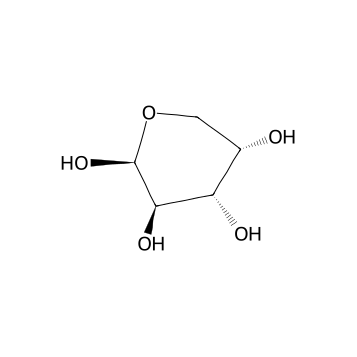 O[C@@H]1[C@@H](O)[C@@H](O)OC[C@@H]1O